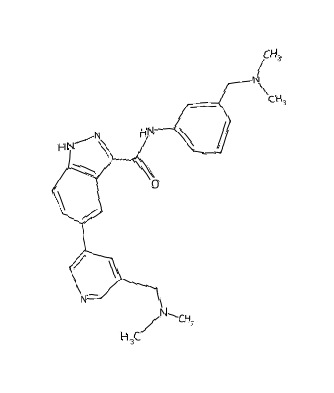 CN(C)Cc1cccc(NC(=O)c2n[nH]c3ccc(-c4cncc(CN(C)C)c4)cc23)c1